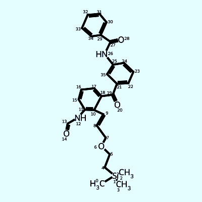 C[Si](C)(C)CCO[CH]C=Cc1c(NC=O)cccc1C(=O)c1cccc(NC(=O)c2ccccc2)c1